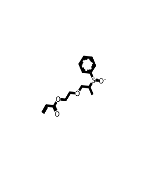 C=CC(=O)OCCOCC(C)[S+]([O-])c1ccccc1